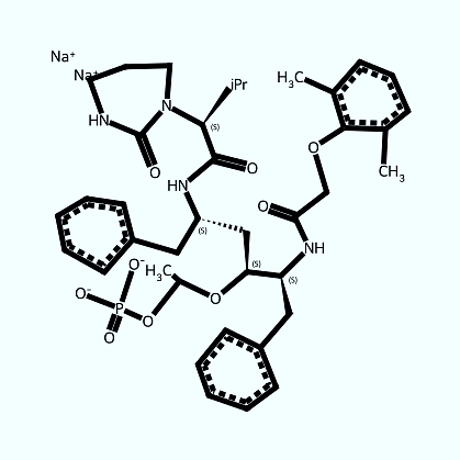 Cc1cccc(C)c1OCC(=O)N[C@@H](Cc1ccccc1)[C@H](C[C@H](Cc1ccccc1)NC(=O)[C@H](C(C)C)N1CCCNC1=O)OC(C)OP(=O)([O-])[O-].[Na+].[Na+]